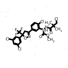 COC(=O)N(NC(=O)C(C)(C)CCl)c1cc(C2=NOC(c3cc(Cl)cc(Cl)c3)(C(F)(F)F)C2)ccc1Cl